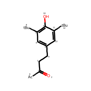 CC(=O)C(=O)CCc1cc(C(C)(C)C)c(O)c(C(C)(C)C)c1